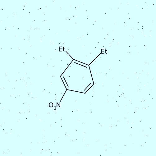 CCc1[c]cc([N+](=O)[O-])cc1CC